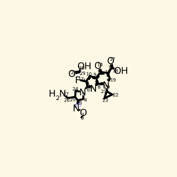 CO/N=C1\CN(c2nc3c(cc2F)c(=O)c(C(=O)O)cn3C2CC2)CC1CN.O=CO